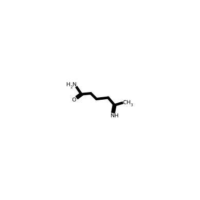 CC(=N)CCCC(N)=O